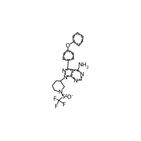 Nc1ncnc2c1c(-c1ccc(Oc3ccccc3)cc1)nn2C1CCCN([S+]([O-])C(F)(F)F)C1